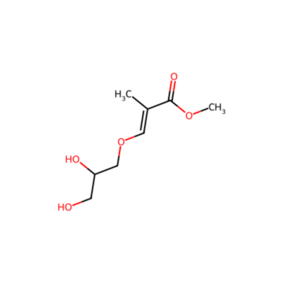 COC(=O)C(C)=COCC(O)CO